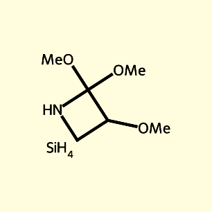 COC1CNC1(OC)OC.[SiH4]